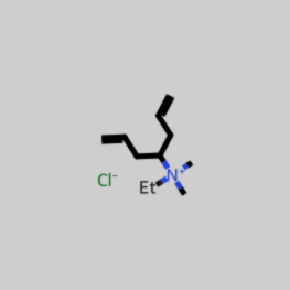 C=CCC(CC=C)[N+](C)(C)CC.[Cl-]